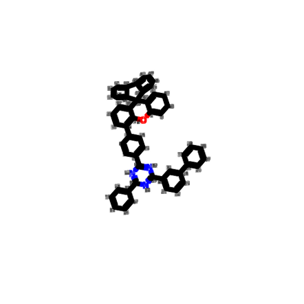 C1=C2Oc3c(-c4ccc(-c5nc(-c6ccccc6)nc(-c6cccc(-c7ccccc7)c6)n5)cc4)cccc3C3(C2=CCC1)c1ccccc1-c1ccccc13